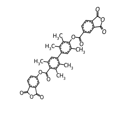 Cc1cc(-c2cc(C)c(C(=O)Oc3ccc4c(c3)C(=O)OC4=O)c(C)c2C)c(C)c(C)c1OC(=O)c1ccc2c(c1)C(=O)OC2=O